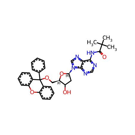 CC(C)(C)C(=O)Nc1ncnc2c1ncn2[C@H]1CC(O)[C@@H](COC2(c3ccccc3)c3ccccc3Oc3ccccc32)O1